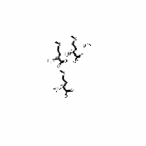 CSCC[C@H](N)C(=O)[O-].CSCC[C@H](N)C(=O)[O-].CSCC[C@H](N)C(=O)[O-].[Bi+3]